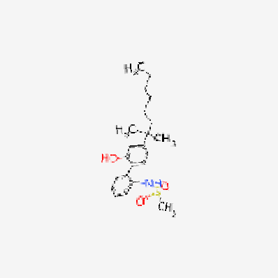 CCCCCCC(C)(C)c1ccc(-c2ccccc2NS(C)(=O)=O)c(O)c1